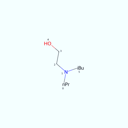 CCCN(CCO)C(C)CC